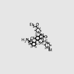 CCSC(=O)C1CCN(c2nc(=O)n3c4c(c(-c5cccc6sc(N)nc56)c(Cl)cc24)SC[C@@H]3CN2CCN(CC)CC2)CC1